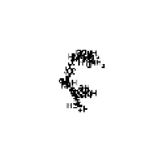 N=C(NCCCCc1ccc(CC[C@H](NCCCN(CCCC[C@H](O)CO)C[C@H](O)[C@@H](O)[C@H](O)CO)C(N)=O)cc1)NC(=O)c1nc(Cl)c(N)nc1N